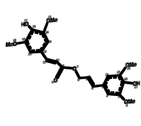 COc1cc(/C=C/COC(=O)/C=C/c2cc(OC)c(O)c(OC)c2)cc(OC)c1O